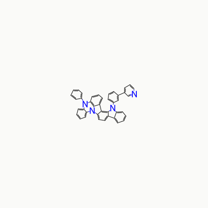 c1ccc(N2c3ccccc3-n3c4ccc5c6ccccc6n(-c6cccc(-c7cccnc7)c6)c5c4c4cccc2c43)cc1